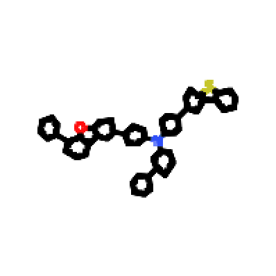 c1ccc(-c2cccc(N(c3ccc(-c4ccc5oc6c(-c7ccccc7)cccc6c5c4)cc3)c3ccc(-c4ccc5sc6ccccc6c5c4)cc3)c2)cc1